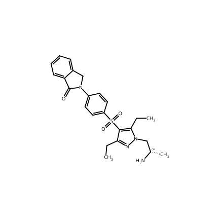 CCc1nn(C[C@H](C)N)c(CC)c1S(=O)(=O)c1ccc(N2Cc3ccccc3C2=O)cc1